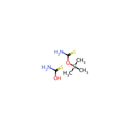 C[Si](C)(C)OC(N)=S.NC(O)=S